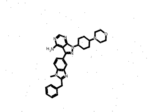 Cn1c(Cc2ccccc2)nc2cc(-c3nn(C4CCC(N5CCOCC5)CC4)c4ncnc(N)c34)ccc21